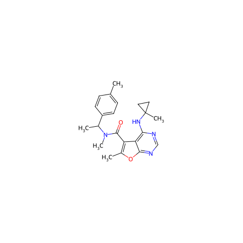 Cc1ccc(C(C)N(C)C(=O)c2c(C)oc3ncnc(NC4(C)CC4)c23)cc1